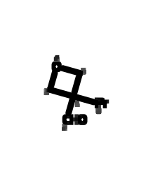 CC(C)C1(C=O)COC1